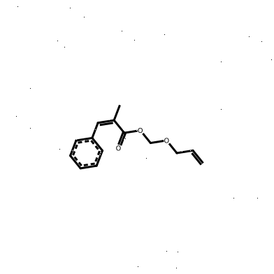 C=CCOCOC(=O)C(C)=Cc1ccccc1